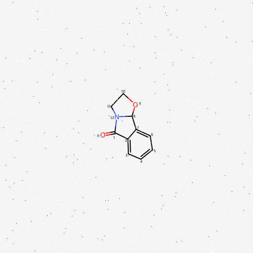 O=C1c2ccccc2C2OCCN12